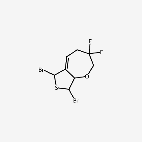 FC1(F)CC=C2C(Br)SC(Br)C2OC1